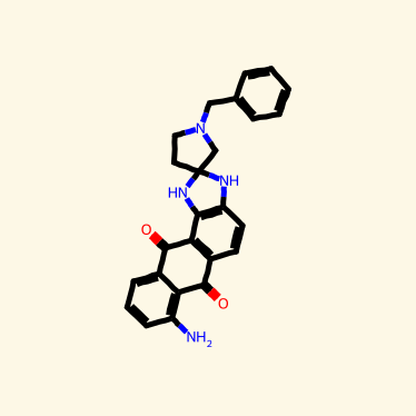 Nc1cccc2c1C(=O)c1ccc3c(c1C2=O)NC1(CCN(Cc2ccccc2)C1)N3